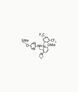 COC1C=CC(N2CCCC2)=C(CNc2ncc(OCCSC)cn2)N1Cc1cc(C(F)(F)F)cc(C(F)(F)F)c1